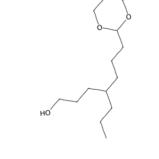 CCCC(CCCO)CCCC1OCCCO1